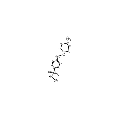 CC(C)NS(=O)(=O)c1ccc(NC[C@H]2CC[C@H](N)CC2)cc1